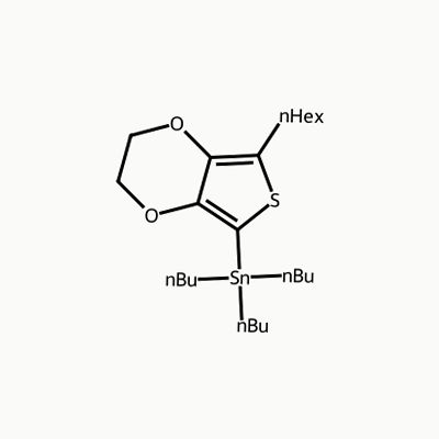 CCCCCCc1s[c]([Sn]([CH2]CCC)([CH2]CCC)[CH2]CCC)c2c1OCCO2